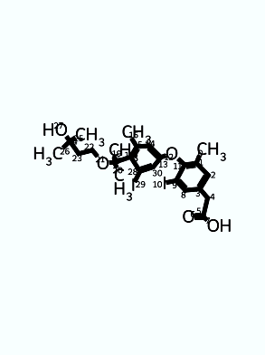 Cc1cc(CC(=O)O)cc(I)c1Oc1cc(C)c(C(C)(C)OCCC(C)(C)O)c(I)c1